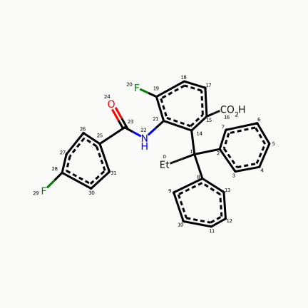 CCC(c1ccccc1)(c1ccccc1)c1c(C(=O)O)ccc(F)c1NC(=O)c1ccc(F)cc1